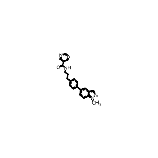 Cn1ncc2cc(-c3ccc(CCCNC(=O)c4cncnc4)cc3)ccc21